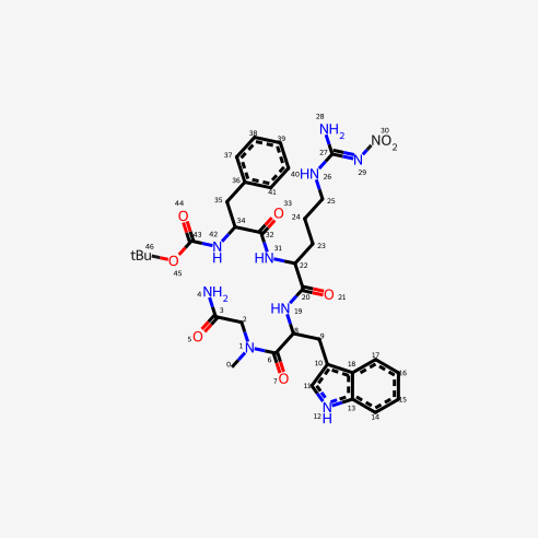 CN(CC(N)=O)C(=O)C(Cc1c[nH]c2ccccc12)NC(=O)C(CCCNC(N)=N[N+](=O)[O-])NC(=O)C(Cc1ccccc1)NC(=O)OC(C)(C)C